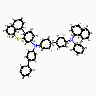 c1ccc(-c2ccc(N(c3ccc(-c4ccc(N(c5ccccc5)c5cccc6ccccc56)cc4)cc3)c3ccc4c(c3)Sc3cccc5cccc-4c35)cc2)cc1